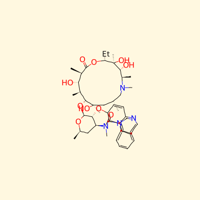 CC[C@H]1OC(=O)[C@H](C)[C@@H](O)[C@H](C)[C@@H](O[C@@H]2O[C@H](C)C[C@H](N(C)C(=O)N(C)c3ccccc3)[C@H]2Oc2ccc3ncccc3c2)[C@](C)(O)C[C@@H](C)CN(C)[C@H](C)[C@@H](O)[C@]1(C)O